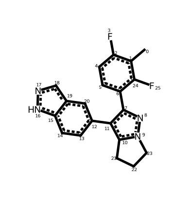 Cc1c(F)ccc(-c2nn3c(c2-c2ccc4[nH]ncc4c2)CCC3)c1F